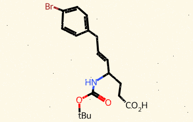 CC(C)(C)OC(=O)NC(/C=C/Cc1ccc(Br)cc1)CCC(=O)O